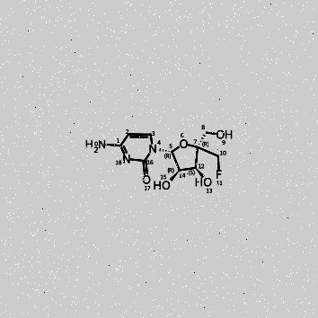 Nc1ccn([C@@H]2O[C@@](CO)(CF)[C@@H](O)[C@H]2O)c(=O)n1